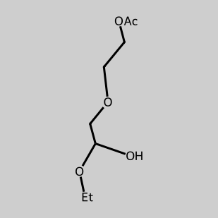 CCOC(O)COCCOC(C)=O